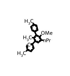 CCCc1[c]c(-c2ccc(C)cc2)c(C)c(-c2ccc(C)cc2)c1OC